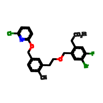 CCOC(=O)Cc1cc(F)c(Br)cc1COCCc1cc(COc2cccc(Cl)n2)ccc1C#N